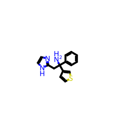 NC(Cc1ncc[nH]1)(c1ccccc1)c1ccsc1